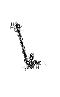 CCNC(=O)C[C@@H]1N=C(c2ccc(Cl)cc2)c2cc(OCCOCCOCCOCCOCCOCCOCCNC(=O)c3cccc(O)c3O)ccc2-n2c(C)nnc21